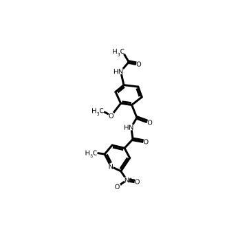 COc1cc(NC(C)=O)ccc1C(=O)NC(=O)c1cc(C)nc([N+](=O)[O-])c1